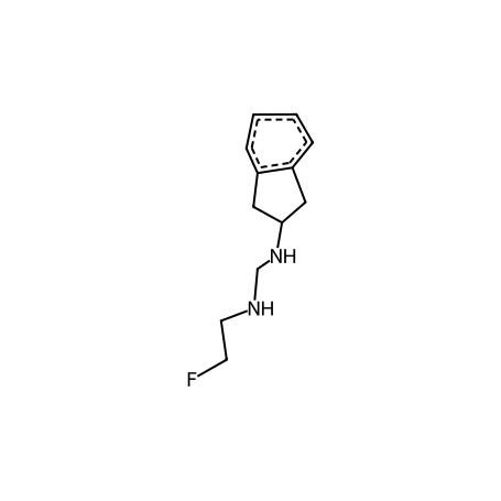 FCCNCNC1Cc2ccccc2C1